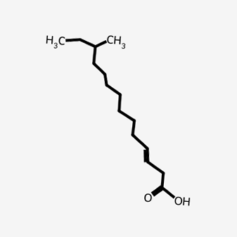 CCC(C)CCCCCCCC=CCC(=O)O